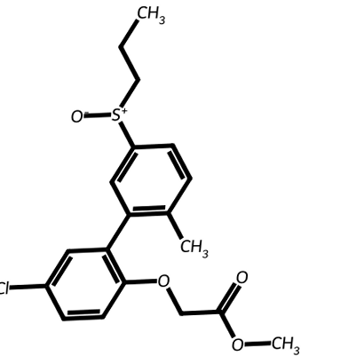 CCC[S+]([O-])c1ccc(C)c(-c2cc(Cl)ccc2OCC(=O)OC)c1